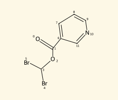 O=C(OC(Br)Br)c1cccnc1